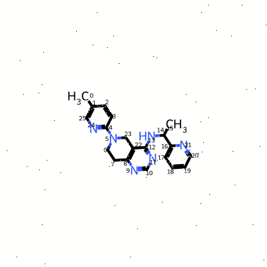 Cc1ccc(N2CCc3ncnc(NC(C)c4ccccn4)c3C2)nc1